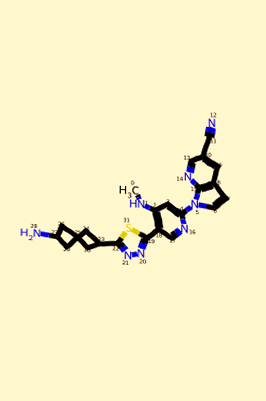 CNc1cc(-n2ccc3cc(C#N)cnc32)ncc1-c1nnc(C2CC3(CC(N)C3)C2)s1